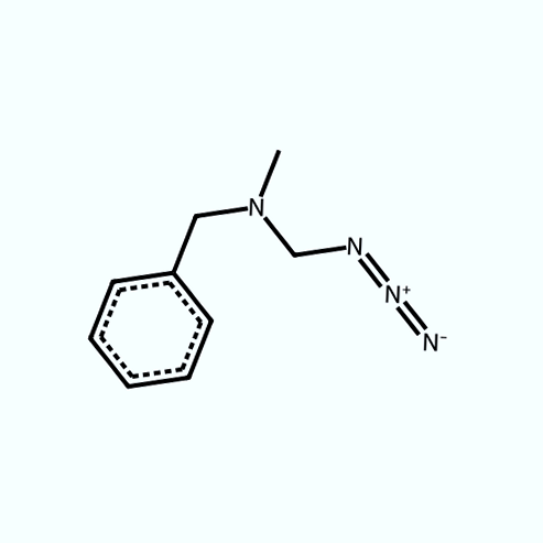 CN(CN=[N+]=[N-])Cc1ccccc1